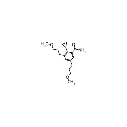 COCCCc1cc(CCCOC)c(C2CC2)c(C(N)=O)c1